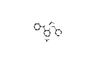 CC(N)=O.O=C(c1ccccc1)c1ccccc1N1C=CSC1c1ccncc1